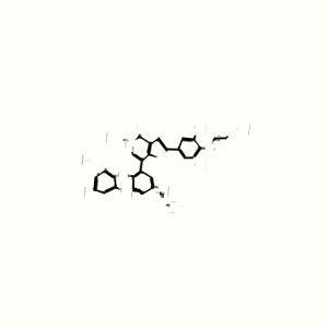 CCSNc1ccc(Oc2c(C)cc(F)cc2C)c(-c2cn(C)c(=O)c3cc(-c4cc(C)c(OCCO)c(C)c4)oc23)c1